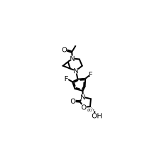 CC(=O)N1CCN(c2c(F)cc(N3C[C@H](CO)OC3=O)cc2F)C2CC21